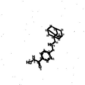 O=C(NO)c1ccc(CNCC23CC4CC(CC(C4)C2)C3)nc1